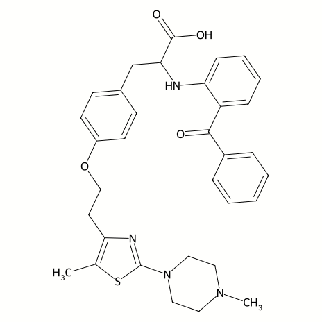 Cc1sc(N2CCN(C)CC2)nc1CCOc1ccc(CC(Nc2ccccc2C(=O)c2ccccc2)C(=O)O)cc1